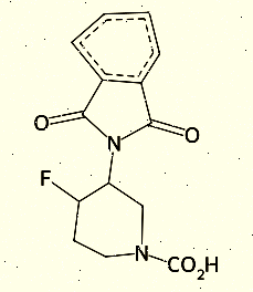 O=C(O)N1CCC(F)C(N2C(=O)c3ccccc3C2=O)C1